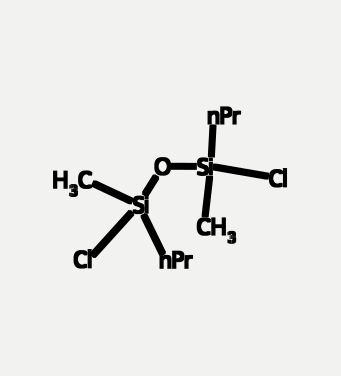 CCC[Si](C)(Cl)O[Si](C)(Cl)CCC